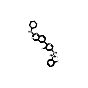 O=S(=O)(Nc1cnc(-c2ccc3nc(NC4CCCCC4)ncc3c2)c(F)c1)c1ccccc1Cl